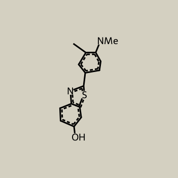 CNc1ccc(-c2nc3ccc(O)cc3s2)cc1C